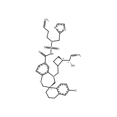 C=CCCN(Cc1ncco1)S(=O)(=O)NC(=O)c1ccc2c(c1)N(CC1CC[C@H]1[C@@H](O)C=C)C[C@@]1(CCCc3cc(Cl)ccc31)CO2